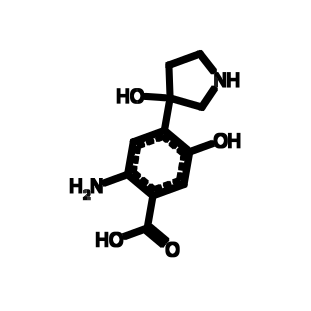 Nc1cc(C2(O)CCNC2)c(O)cc1C(=O)O